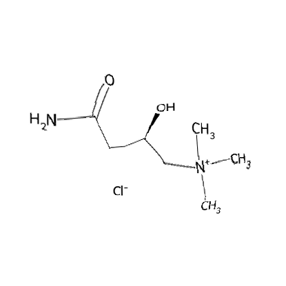 C[N+](C)(C)C[C@H](O)CC(N)=O.[Cl-]